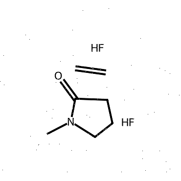 C=C.CN1CCCC1=O.F.F